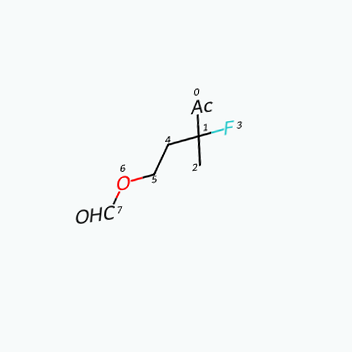 CC(=O)C(C)(F)CCOC=O